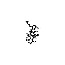 CN(C)CCCc1ccc(O)c2c1C[C@H]1C[C@H]3[C@H](N(C)C)C(O)C(C(N)=O)C(=O)[C@@]3(O)C(O)=C1C2=O